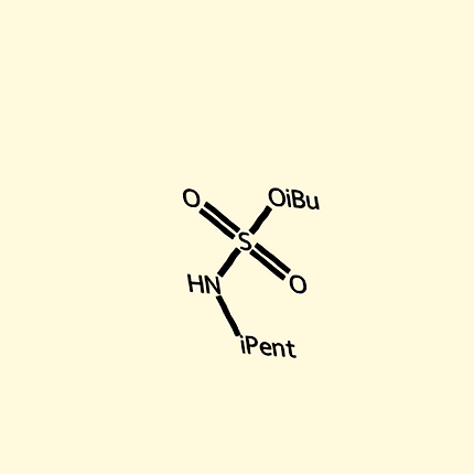 CCCC(C)NS(=O)(=O)OCC(C)C